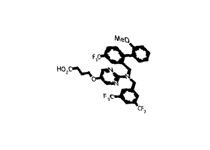 COc1ccccc1-c1ccc(C(F)(F)F)cc1CN(Cc1cc(C(F)(F)F)cc(C(F)(F)F)c1)c1ncc(OCCCC(=O)O)cn1